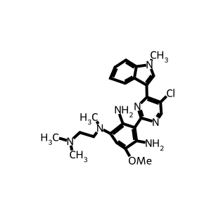 COc1cc(N(C)CCN(C)C)c(N)c(-c2ncc(Cl)c(-c3cn(C)c4ccccc34)n2)c1N